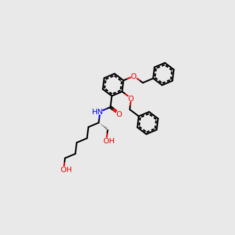 O=C(N[C@H](CO)CCCCCO)c1cccc(OCc2ccccc2)c1OCc1ccccc1